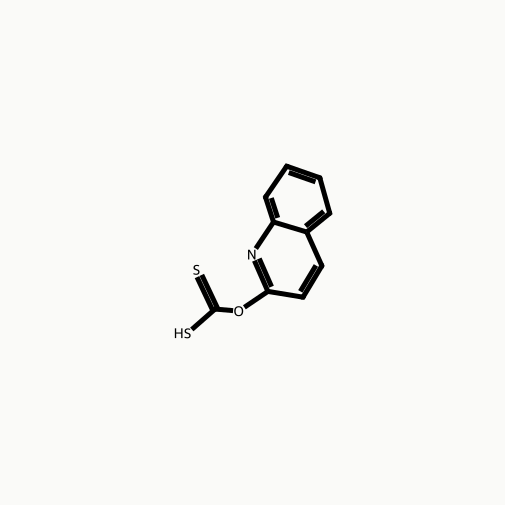 S=C(S)Oc1ccc2ccccc2n1